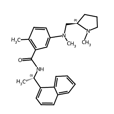 Cc1ccc(N(C)C[C@H]2CCCN2C)cc1C(=O)N[C@@H](C)c1cccc2ccccc12